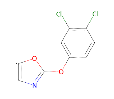 Clc1ccc(Oc2nc[c]o2)cc1Cl